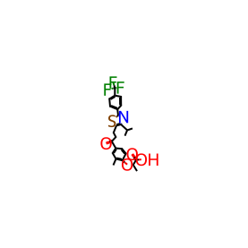 Cc1cc(C(=O)CCc2sc(-c3ccc(C(F)(F)F)cc3)nc2C(C)C)ccc1OC(C)C(=O)O